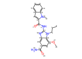 CCCn1c(NC(=O)c2cc3ccccc3n2C)nc2cc(C(N)=O)cc(OC)c21